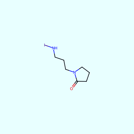 O=C1CCCN1CCCNI